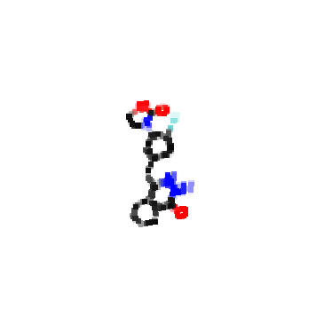 O=C1OCCN1c1cc(Cc2n[nH]c(=O)c3c2CCCC3)ccc1F